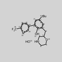 CC(C)(C)c1cc(CC2CNCCO2)c(O)c(-c2ccc(C(F)(F)F)nc2)c1.Cl